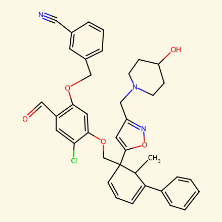 CC1C(c2ccccc2)=CC=CC1(COc1cc(OCc2cccc(C#N)c2)c(C=O)cc1Cl)c1cc(CN2CCC(O)CC2)no1